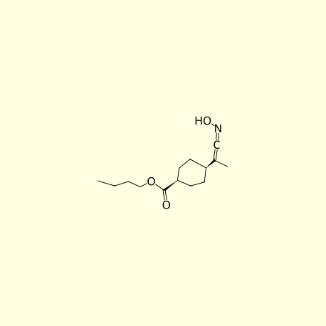 CCCCOC(=O)[C@H]1CC[C@@H](C(C)=C=NO)CC1